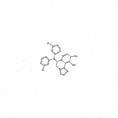 OC1=C2c3nccn3C[C@@H](C(c3cccc(Cl)c3)c3cccc(Cl)c3)N2N=CC1O